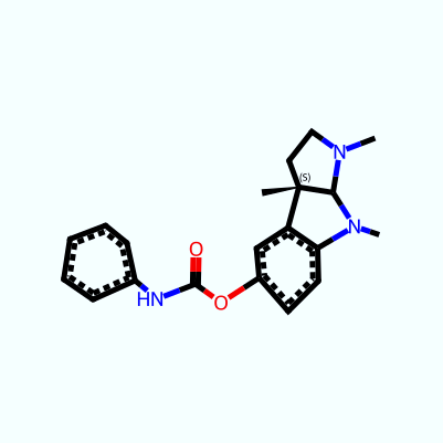 CN1CC[C@@]2(C)c3cc(OC(=O)Nc4ccccc4)ccc3N(C)C12